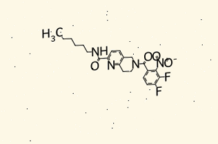 CCCCCCNC(=O)c1ccc2c(n1)CCN(C(=O)c1ccc(F)c(F)c1[N+](=O)[O-])C2